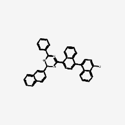 Clc1ccc(-c2ccc(C3=NC(c4ccccc4)NC(c4ccc5ccccc5c4)N3)c3ccccc23)c2ccccc12